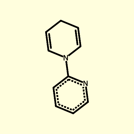 C1=CN(c2ccccn2)C=CC1